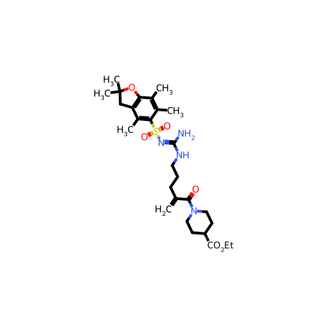 C=C(CCCN/C(N)=N/S(=O)(=O)c1c(C)c(C)c2c(c1C)CC(C)(C)O2)C(=O)N1CCC(C(=O)OCC)CC1